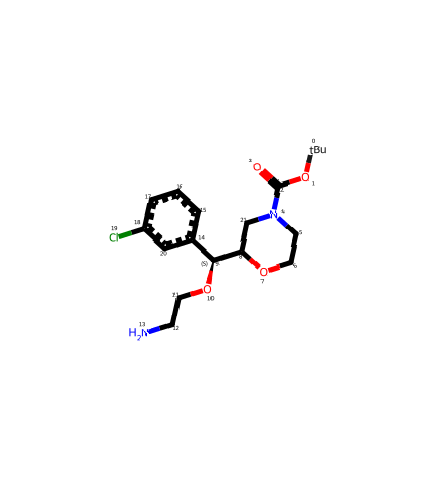 CC(C)(C)OC(=O)N1CCOC([C@@H](OCCN)c2cccc(Cl)c2)C1